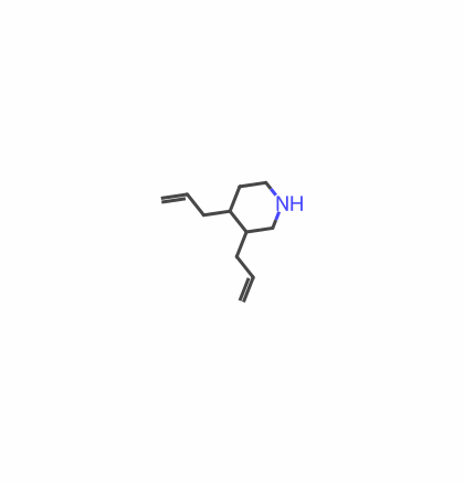 C=CCC1CCNCC1CC=C